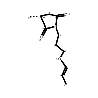 CC=COCCCN1C(=O)C[C@@H](C)C1=O